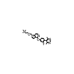 Cc1ncnc(C)c1-c1ccc(Oc2nccc3c2ccn3COCC[Si](C)(C)C)cc1F